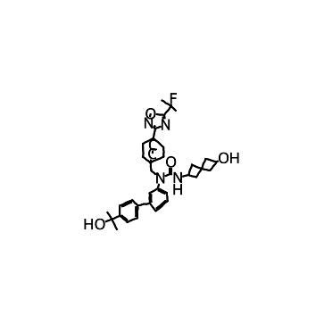 CC(C)(O)c1ccc(-c2cccc(N(CC34CCC(c5noc(C(C)(C)F)n5)(CC3)CC4)C(=O)NC3CC4(CC(O)C4)C3)c2)cc1